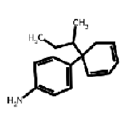 CCC(C)C1(c2ccc(N)cc2)C=CC=CC1